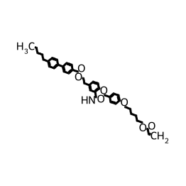 C=CC(=O)OCCCCCCOc1ccc(C(=O)Oc2ccc(CCOC(=O)c3ccc(-c4ccc(CCCCC)cc4)cc3)cc2C=N)cc1